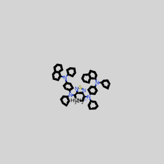 C=C(c1nsnc1/C(=C\C)N(c1ccccc1)c1ccc(N(c2ccccc2)c2cccc3ccccc23)cc1)N(c1ccccc1)c1ccc(N(c2ccccc2)c2cccc3ccccc23)cc1